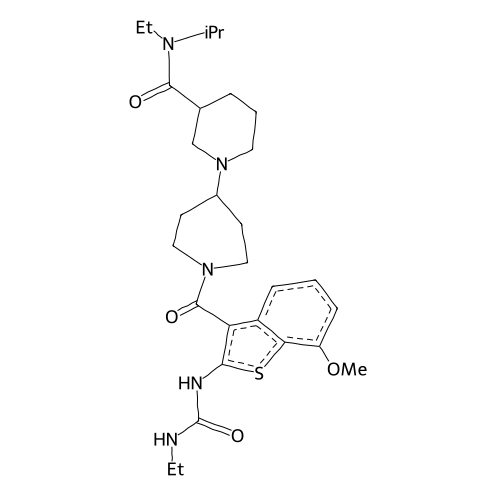 CCNC(=O)Nc1sc2c(OC)cccc2c1C(=O)N1CCC(N2CCCC(C(=O)N(CC)C(C)C)C2)CC1